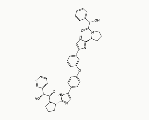 O=C([C@@H](O)c1ccccc1)N1CCC[C@H]1c1nc(-c2cccc(Oc3ccc(-c4cnc([C@@H]5CCCN5C(=O)[C@@H](O)c5ccccc5)[nH]4)cc3)c2)c[nH]1